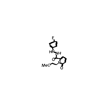 COCCn1c(C(=O)NNc2ccc(F)cc2)cccc1=O